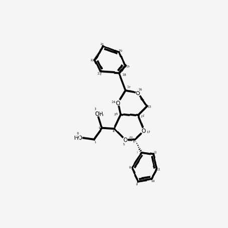 OCC(O)C1O[C@@H](c2ccccc2)OC2COC(c3ccccc3)OC21